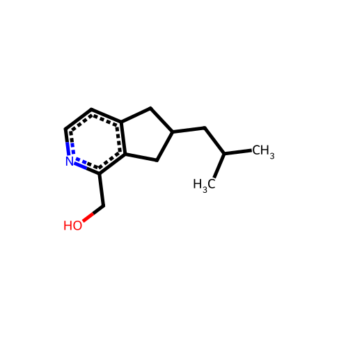 CC(C)CC1Cc2ccnc(CO)c2C1